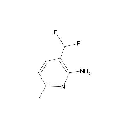 Cc1ccc(C(F)F)c(N)n1